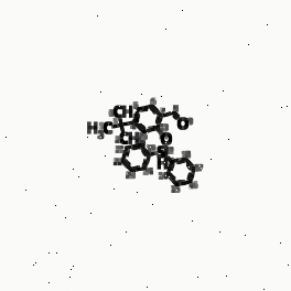 CC(C)(C)c1ccc(C=O)c(O[SiH](c2ccccc2)c2ccccc2)c1